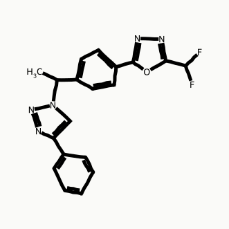 CC(c1ccc(-c2nnc(C(F)F)o2)cc1)n1cc(-c2ccccc2)nn1